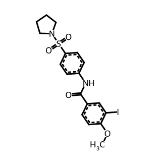 COc1ccc(C(=O)Nc2ccc(S(=O)(=O)N3CCCC3)cc2)cc1I